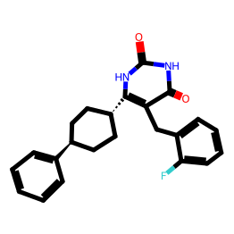 O=c1[nH]c(=O)c(Cc2ccccc2F)c([C@H]2CC[C@H](c3ccccc3)CC2)[nH]1